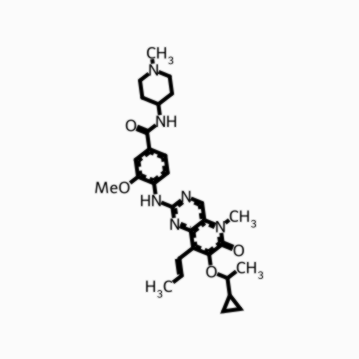 C/C=C/c1c(OC(C)C2CC2)c(=O)n(C)c2cnc(Nc3ccc(C(=O)NC4CCN(C)CC4)cc3OC)nc12